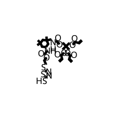 C=CC(=O)OCC(COC(=O)C=C)(COC(=O)C=C)COC(=O)NCC1(C)CC(NC(=O)OCCSc2nnc(S)s2)CC(C)(C)C1